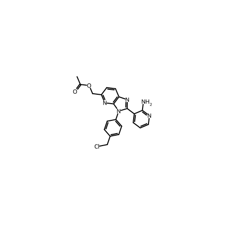 CC(=O)OCc1ccc2nc(-c3cccnc3N)n(-c3ccc(CCl)cc3)c2n1